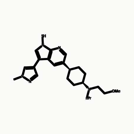 CCCN(CCOC)[C@H]1CC[C@@H](c2cnc3c(c2)c(-c2cnn(C)c2)cn3S)CC1